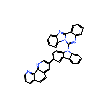 c1cnc2c(c1)ccc1cc(-c3ccc4c(c3)c3ccccc3n4-c3nc4ccccc4c4nc5ccccc5n34)cnc12